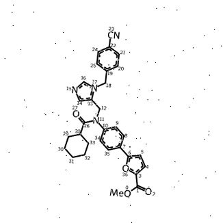 COC(=O)c1ccc(-c2ccc(N(Cc3cncn3Cc3ccc(C#N)cc3)C(=O)C3CCCCC3)cc2)o1